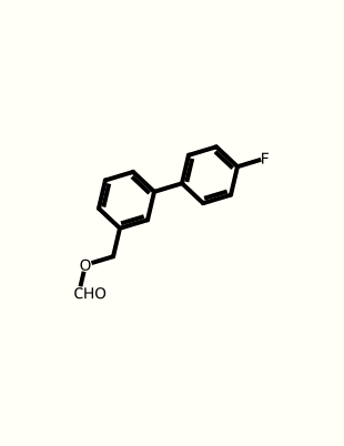 O=COCc1cccc(-c2ccc(F)cc2)c1